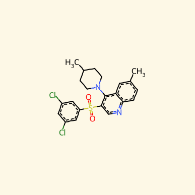 Cc1ccc2ncc(S(=O)(=O)c3cc(Cl)cc(Cl)c3)c(N3CCC(C)CC3)c2c1